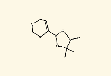 CC1OB(C2=CCOCC2)OC1(C)C